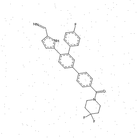 N=Cc1ccc(-c2ccc(-c3ccc(C(=O)N4CCC(F)(F)CC4)cc3)cc2-c2ccc(F)cc2)[nH]1